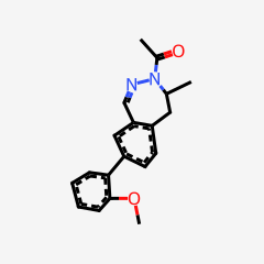 COc1ccccc1-c1ccc2c(c1)C=NN(C(C)=O)C(C)C2